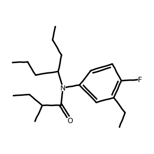 CCCC(CCC)N(C(=O)C(C)CC)c1ccc(F)c(CC)c1